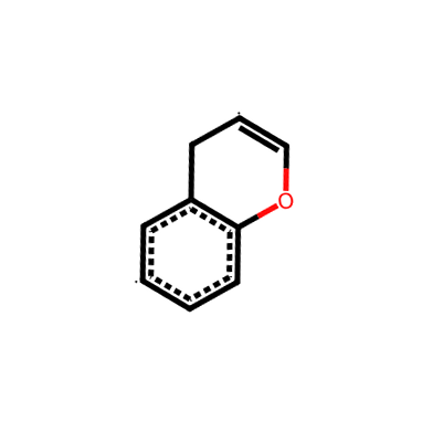 [C]1=COc2cc[c]cc2C1